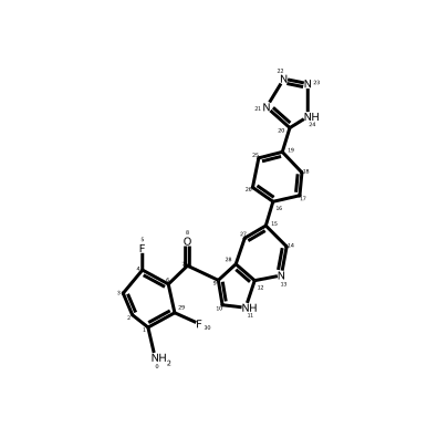 Nc1ccc(F)c(C(=O)c2c[nH]c3ncc(-c4ccc(-c5nnn[nH]5)cc4)cc23)c1F